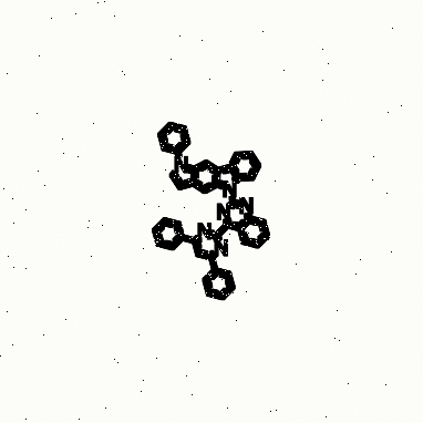 c1ccc(-c2cc(-c3ccccc3)nc(-c3nc(-n4c5ccccc5c5cc6c(ccn6-c6ccccc6)cc54)nc4ccccc34)n2)cc1